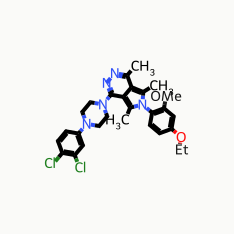 CCOc1ccc(-n2c(C)c3c(C)nnc(N4CCN(c5ccc(Cl)c(Cl)c5)CC4)c3c2C)c(OC)c1